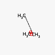 CCCCCCCCCCCCCCCCCCC(CCC)OC(C)=O